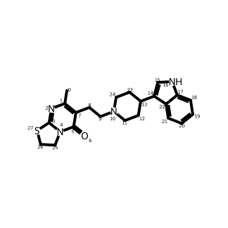 Cc1nc2n(c(=O)c1CCN1CCC(c3c[nH]c4ccccc34)CC1)CCS2